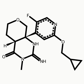 CN1C(=N)N[C@@]2(c3cc(OCC4CC4)ncc3F)COCC[C@H]2C1=O